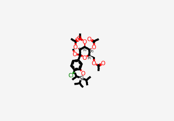 COC1(c2ccc(Cl)c(O[Si](C(C)C)(C(C)C)C(C)C)c2)O[C@H](COC(C)=O)[C@@H](OC(C)=O)[C@H](OC(C)=O)[C@H]1OC(C)=O